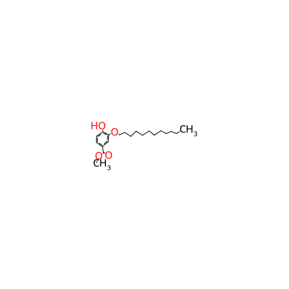 CCCCCCCCCCCCOc1cc(C(=O)OC)ccc1O